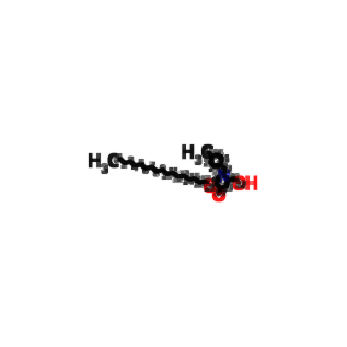 CCCCCCCCCCCCCCCCCCOc1cn(Cc2ccc(C)cc2)c(CO)cc1=O